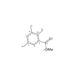 COC(=O)c1cc(C)cc(C)c1C